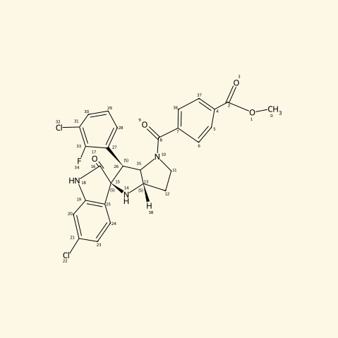 COC(=O)c1ccc(C(=O)N2CC[C@@H]3N[C@@]4(C(=O)Nc5cc(Cl)ccc54)[C@@H](c4cccc(Cl)c4F)C32)cc1